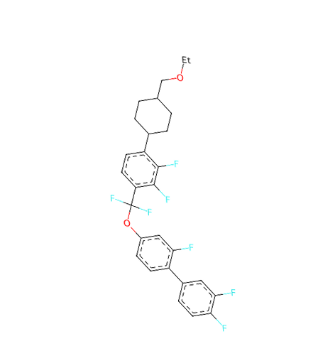 CCOCC1CCC(c2ccc(C(F)(F)Oc3ccc(-c4ccc(F)c(F)c4)c(F)c3)c(F)c2F)CC1